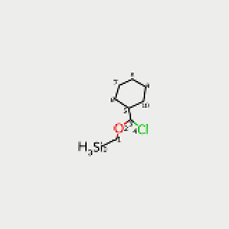 [SiH3]COC(Cl)C1CCCCC1